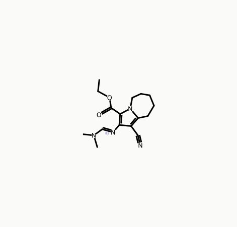 CCOC(=O)c1c(/N=C/N(C)C)c(C#N)c2n1CCCCC2